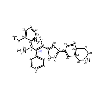 N/C(=C(/c1ccncc1)N(N)c1ccccc1CF)c1nc(-c2ccc3c(c2)CNCC3)no1